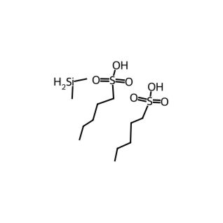 CCCCCS(=O)(=O)O.CCCCCS(=O)(=O)O.C[SiH2]C